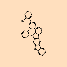 N#CC1=NCCC=C1C1=CC(C2C=CC=CC2N2c3cc4oc5ccccc5c4cc3C3C=CC=CC32)CC=C1